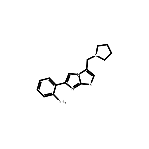 Nc1ccccc1-c1cn2c(CN3CCCC3)csc2n1